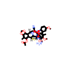 CCN1CC2(C#N)Cc3cc(C)c(OC)c(O)c3[C@H]1[C@@H]1[C@@H]3SC[C@]4(N[C@@H](CN)Cc5c4[nH]c4ccc(OC)cc54)C(=O)OC[C@@H](c4c5c(c(C)c(OC(C)=O)c43)OCO5)N12